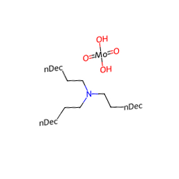 CCCCCCCCCCCCN(CCCCCCCCCCCC)CCCCCCCCCCCC.[O]=[Mo](=[O])([OH])[OH]